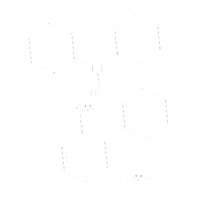 COc1cccc(OC)c1-c1ccccc1[PH][Pd]([CH]1CCCCC1)[CH]1CCCCC1